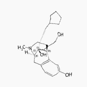 CN1CC[C@]23CC(O)[C@@H](CC4CCCC4)C[C@@]2(O)[C@H]1Cc1ccc(O)cc13